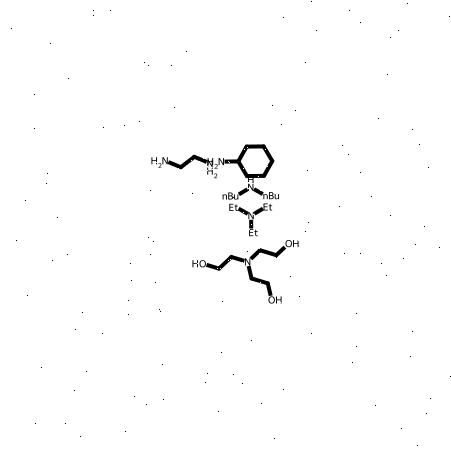 CCCCNCCCC.CCN(CC)CC.NC1CCCCC1.NCCN.OCCN(CCO)CCO